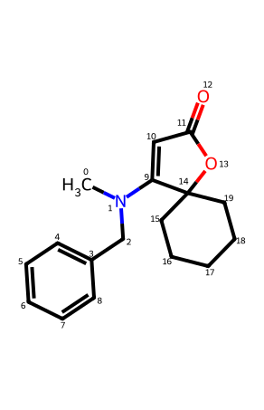 CN(Cc1ccccc1)C1=CC(=O)OC12CCCCC2